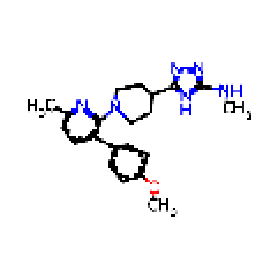 CNc1nnc(C2CCN(c3nc(C)ccc3-c3ccc(OC)cc3)CC2)[nH]1